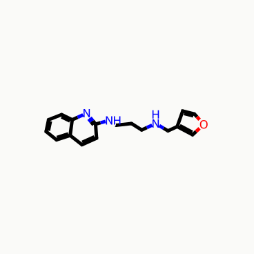 c1ccc2nc(NCCCNCc3ccoc3)ccc2c1